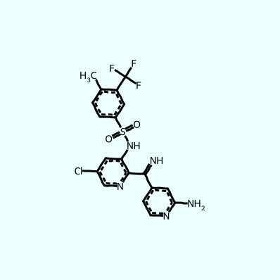 Cc1ccc(S(=O)(=O)Nc2cc(Cl)cnc2C(=N)c2ccnc(N)c2)cc1C(F)(F)F